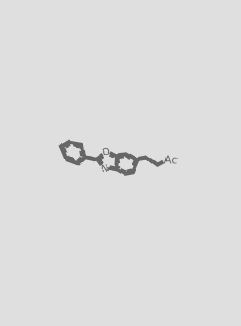 CC(=O)CCc1ccc2nc(-c3ccccc3)oc2c1